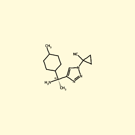 CC1CCC([C@](C)(N)c2cn(C3(C#N)CC3)nn2)CC1